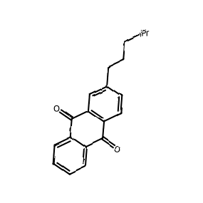 CC(C)CCCc1ccc2c(c1)C(=O)c1ccccc1C2=O